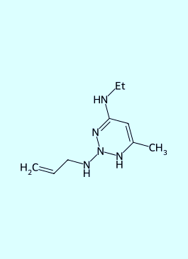 C=CCNN1N=C(NCC)C=C(C)N1